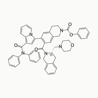 O=C(Oc1ccccc1)N1CCc2cc(-c3cc(C(=O)N(c4ccccc4)c4ccccc4)c4ccccn34)c(C(=O)N3Cc4ccccc4C[C@H]3CN3CCOCC3)cc2C1